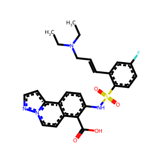 CCN(CC)CC=Cc1cc(F)ccc1S(=O)(=O)Nc1ccc2c(ccn3nccc23)c1C(=O)O